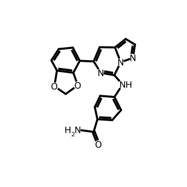 NC(=O)c1ccc(Nc2nc(-c3cccc4c3OCO4)cc3ccnn23)cc1